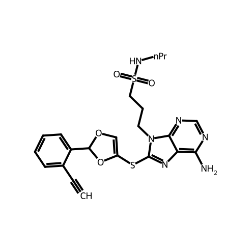 C#Cc1ccccc1C1OC=C(Sc2nc3c(N)ncnc3n2CCCS(=O)(=O)NCCC)O1